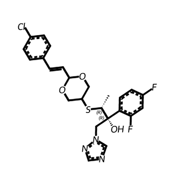 C[C@@H](SC1COC(C=Cc2ccc(Cl)cc2)OC1)[C@](O)(Cn1cncn1)c1ccc(F)cc1F